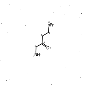 CCCCCC(=O)C[NH]